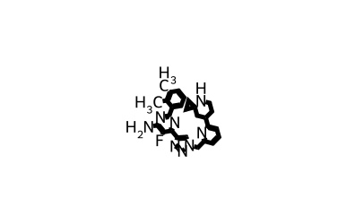 Cc1cccc(-c2nc(N)c(F)c(-c3cn(Cc4cccc(C5CCNC6(CC6)C5)n4)nn3)n2)c1C